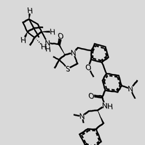 COc1c(CN2CSC(C)(C)[C@H]2C(=O)N[C@H]2C[C@H]3C[C@@H]([C@@H]2C)C3(C)C)cccc1-c1cc(C(=O)N[C@@H](Cc2ccccc2)CN(C)C)cc(N(C)C)c1